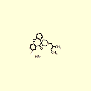 Br.CC=C(C)CN1CCC2(CC1)C(=O)c1cc(Cl)ccc1Oc1ccccc12